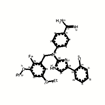 CCOc1cc(CN(c2ccc(C(=N)N)cc2)c2nc(-c3ccccc3Cl)c[nH]2)c(F)c(OC(C)C)c1